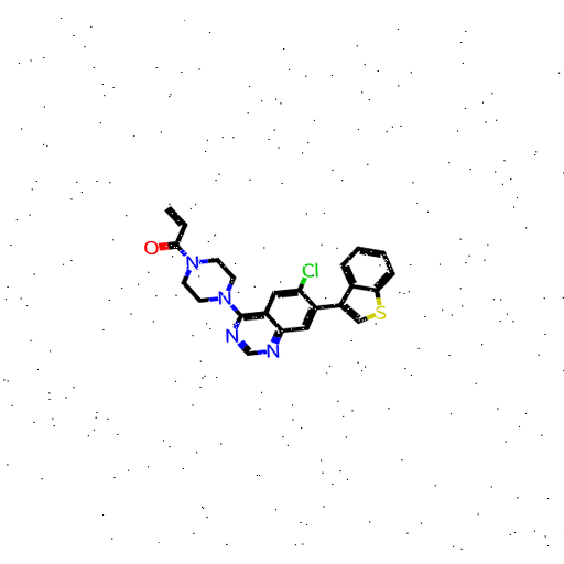 C=CC(=O)N1CCN(c2ncnc3cc(-c4csc5ccccc45)c(Cl)cc23)CC1